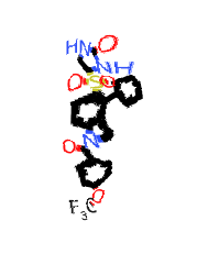 O=C1NCC(S(=O)(=O)c2ccc3c(c#cn3C(=O)c3ccc(OC(F)(F)F)cc3)c2-c2ccccc2)N1